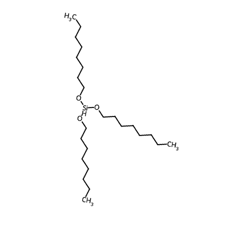 CCCCCCCCO[SiH](OCCCCCCCC)OCCCCCCCC